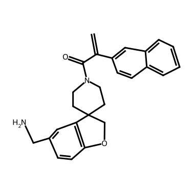 C=C(C(=O)N1CCC2(CC1)COc1ccc(CN)cc12)c1ccc2ccccc2c1